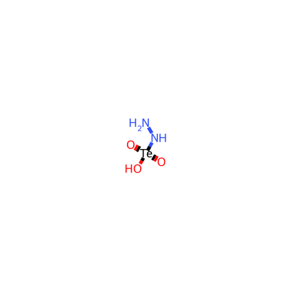 NN[Te](=O)(=O)O